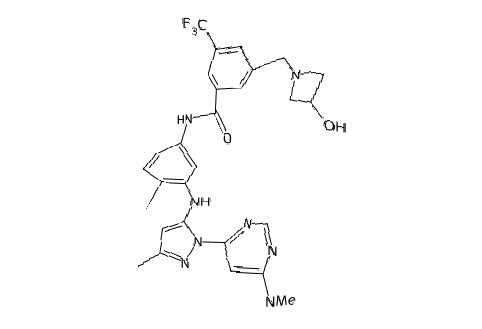 CNc1cc(-n2nc(C)cc2Nc2cc(NC(=O)c3cc(CN4CC(O)C4)cc(C(F)(F)F)c3)ccc2C)ncn1